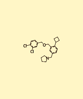 Clc1ccc(COCc2cc(CN3CCCC3)ccc2C2CCC2)cc1Cl